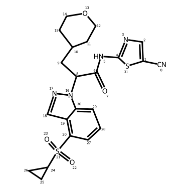 N#Cc1cnc(NC(=O)C(CC2CCOCC2)n2ncc3c(S(=O)(=O)C4CC4)cccc32)s1